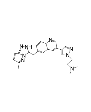 CC1=NN2C(=NNC2CC2=CC3C=C(c4cnn(CCN(C)C)c4)C=NC3C=C2)C=C1